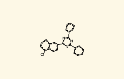 Clc1cccc2cc(-c3nc(-c4ccccc4)nc(-c4ccccc4)n3)ccc12